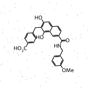 COc1cccc(CNC(=O)c2ccc3cc(O)c(Cc4ccc(C(=O)O)cc4)c(O)c3c2)c1